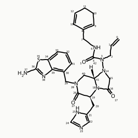 C=CCN(C(=O)NCC1=CCCC=C1)N1CC(=O)N2[C@@H](Cc3cnc[nH]3)C(=O)N(Cc3cccc4sc(N)nc34)C[C@@H]21